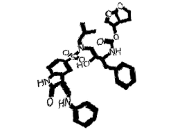 CC(C)CN(CC(O)C(Cc1ccccc1)NC(=O)OC1COC2OCCC12)S(=O)(=O)c1ccc2c(c1)C(=CNc1ccccc1)C(=O)N2